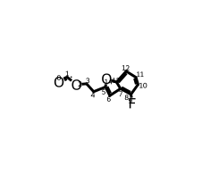 O=[C]OCCc1cc2c(F)cccc2o1